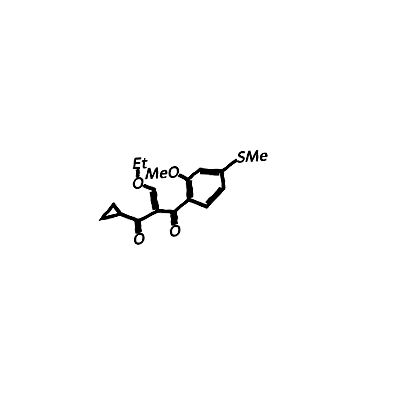 CCOC=C(C(=O)c1ccc(SC)cc1OC)C(=O)C1CC1